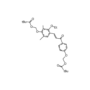 CCOc1c(C=CC(=O)c2ccc(OCOC(=O)C(C)(C)C)cc2)cc(C)c(OCOC(=O)C(C)(C)C)c1C